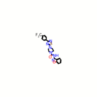 O=C(Nc1noc2ccccc12)N1CCN(c2nc(-c3ccc(C(F)(F)F)cc3)ns2)CC1